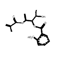 C=C(C)C(=O)OC(C)C(OC(=O)c1ccccc1C(=O)O)C(C)O